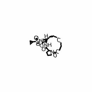 O=C1NC2(C(=O)NS(=O)(=O)C3CC3)C[C@H]2/C=C\CCCCCCC(=O)N2CCCC12